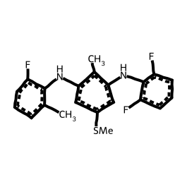 CSc1cc(Nc2c(C)cccc2F)c(C)c(Nc2c(F)cccc2F)c1